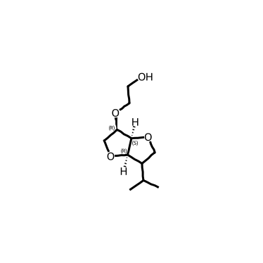 CC(C)C1CO[C@H]2[C@@H]1OC[C@H]2OCCO